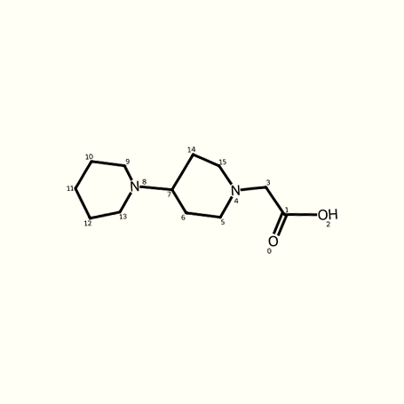 O=C(O)CN1CCC(N2CCCCC2)CC1